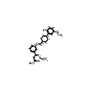 CCOC(CC(=O)O)c1cccc(OCC2CCC(c3cc(OC)ccc3F)CC2)c1